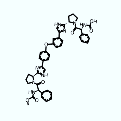 COC(=O)N[C@@H](C(=O)N1CCC[C@H]1c1nc(-c2ccc(Oc3cccc(-c4c[nH]c([C@@H]5CCCN5C(=O)[C@H](NC(=O)O)c5ccccc5)n4)c3)cc2)c[nH]1)c1ccccc1